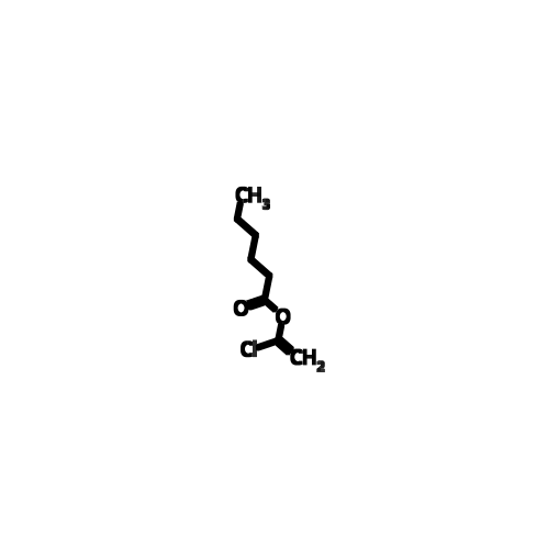 C=C(Cl)OC(=O)CCCCC